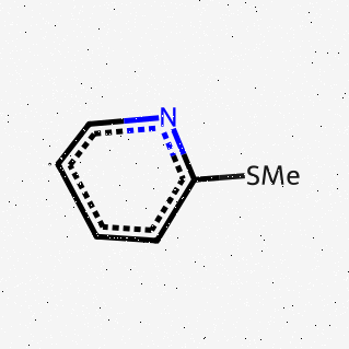 CSc1cc[c]cn1